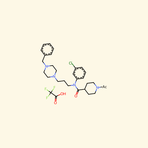 CC(=O)N1CCC(C(=O)N(CCCN2CCN(Cc3ccccc3)CC2)c2cccc(Cl)c2)CC1.O=C(O)C(F)(F)F